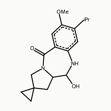 COc1cc2c(cc1C(C)C)NC(O)C1CC3(CC3)CN1C2=O